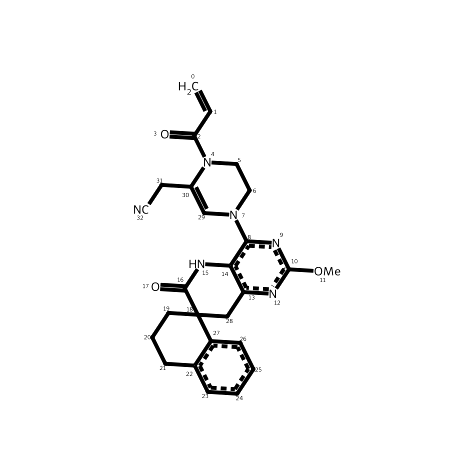 C=CC(=O)N1CCN(c2nc(OC)nc3c2NC(=O)C2(CCCc4ccccc42)C3)C=C1CC#N